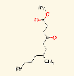 [CH2]C([CH2])OC(=O)CCC(=O)CCC(C)CCCC(C)C